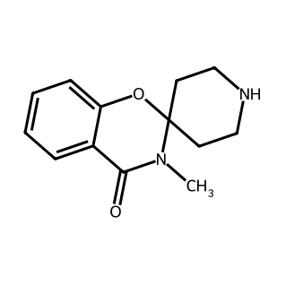 CN1C(=O)c2ccccc2OC12CCNCC2